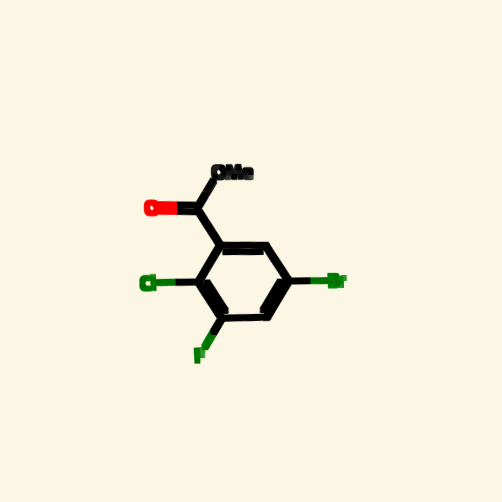 COC(=O)c1cc(Br)cc(F)c1Cl